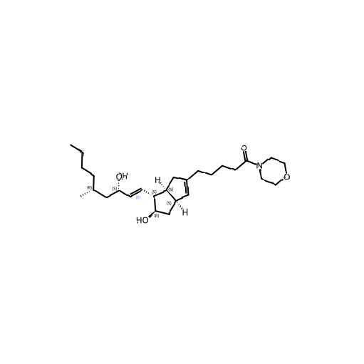 CCCC[C@@H](C)C[C@H](O)/C=C/[C@@H]1[C@H]2CC(CCCCC(=O)N3CCOCC3)=C[C@H]2C[C@H]1O